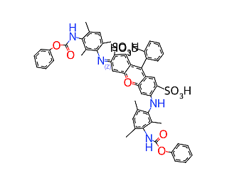 Cc1cc(C)c(NC(=O)Oc2ccccc2)c(C)c1/N=c1/cc2oc3cc(Nc4c(C)cc(C)c(NC(=O)Oc5ccccc5)c4C)c(S(=O)(=O)O)cc3c(-c3ccccc3S(=O)(=O)O)c-2cc1S(=O)(=O)O